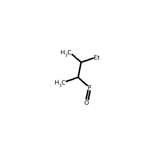 CCC(C)C(C)P=O